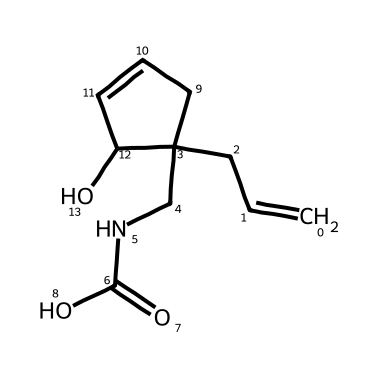 C=CCC1(CNC(=O)O)CC=CC1O